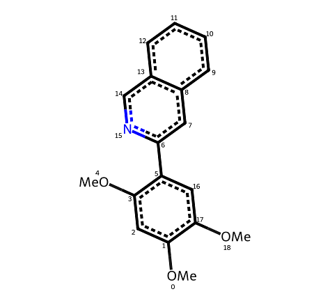 COc1cc(OC)c(-c2cc3ccccc3cn2)cc1OC